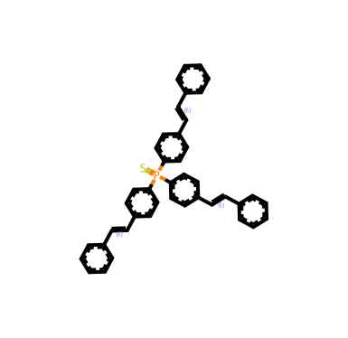 S=P(c1ccc(/C=C/c2ccccc2)cc1)(c1ccc(/C=C/c2ccccc2)cc1)c1ccc(/C=C/c2ccccc2)cc1